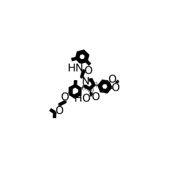 Cc1cccc(C)c1NC(=O)CN1C[C@H](c2ccc3c(c2)OCO3)[C@@H](C(=O)O)[C@@H]1C1C=CC(OCCOC(C)C)=CC1C